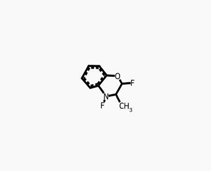 CC1C(F)Oc2ccccc2N1F